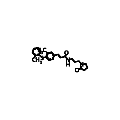 Cc1ccccc1Sc1ccc(C=CC(=O)NCCCN2CCCC2=O)cc1C(F)(F)F